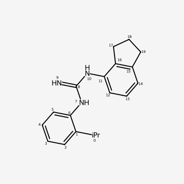 CC(C)c1ccccc1NC(=N)Nc1cccc2c1CCC2